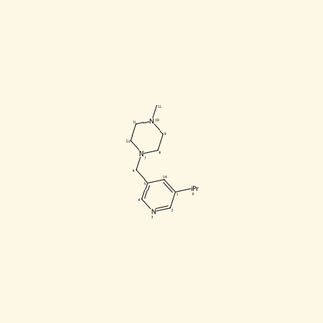 CC(C)c1cncc(CN2CCN(C)CC2)c1